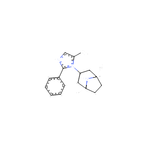 Cc1cnc(-c2ccccc2)n1C1C[C@H]2CC[C@@H](C1)N2